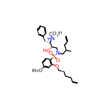 C=CCCCCOc1cc(OC)ccc1S(=O)(=O)N(CC(C)CC=C)C[C@@H](O)[C@H](Cc1ccccc1)NC(=O)O